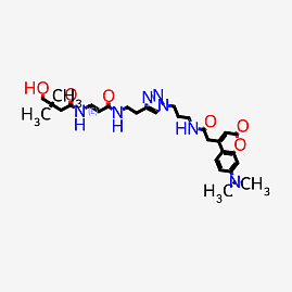 CN(C)c1ccc2c(CC(=O)NCCCn3cc(CCNC(=O)/C=C/NC(=O)CC(C)(C)CO)nn3)cc(=O)oc2c1